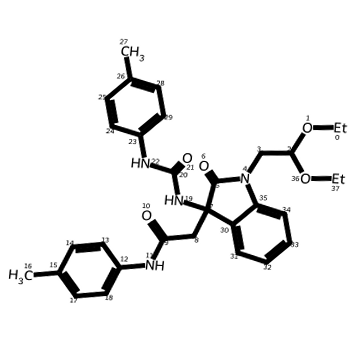 CCOC(CN1C(=O)C(CC(=O)Nc2ccc(C)cc2)(NC(=O)Nc2ccc(C)cc2)c2ccccc21)OCC